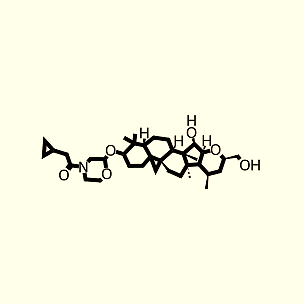 C[C@@H]1C[C@H](CO)O[C@H]2C1[C@@]1(C)CC[C@@]34CC35CCC(OC3CN(C(=O)CC6CC6)CCO3)C(C)(C)[C@@H]5CC[C@H]4[C@]1(C)[C@H]2O